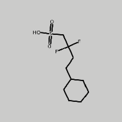 O=S(=O)(O)CC(F)(F)CCC1CCCCC1